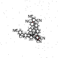 N#Cc1cccc(-c2ccc(-n3c4cc(-c5ccc(C#N)cc5C#N)ccc4c4ccc(-c5ccc(C#N)cc5C#N)cc43)c(C(F)(F)F)c2-n2c3cc(-c4ccc(C#N)cc4C#N)ccc3c3ccc(-c4ccc(C#N)cc4C#N)cc32)c1